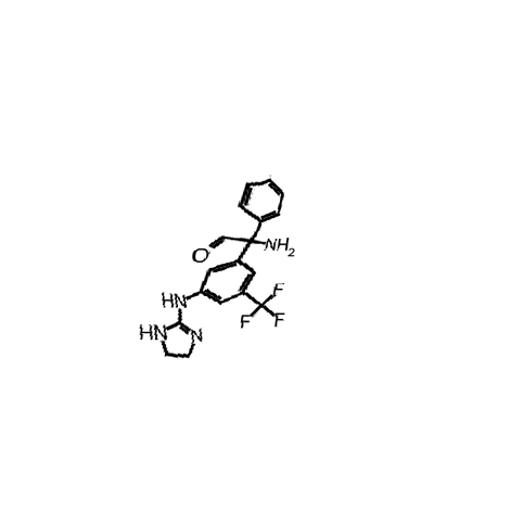 NC(C=O)(c1cc[c]cc1)c1cc(NC2=NCCN2)cc(C(F)(F)F)c1